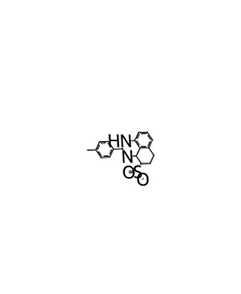 Cc1ccc(C2=NC3C(=S(=O)=O)CCc4cccc(c43)N2)cc1